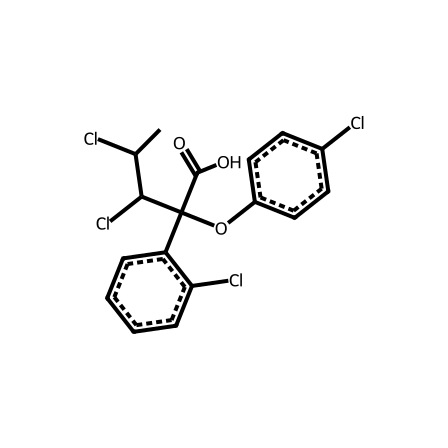 CC(Cl)C(Cl)C(Oc1ccc(Cl)cc1)(C(=O)O)c1ccccc1Cl